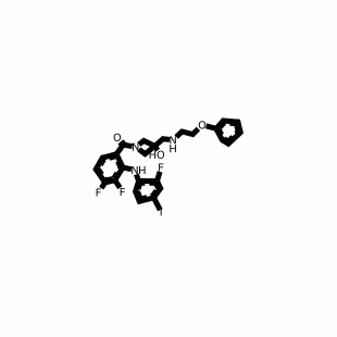 O=C(c1ccc(F)c(F)c1Nc1ccc(I)cc1F)N1CC(O)(CNCCOc2ccccc2)C1